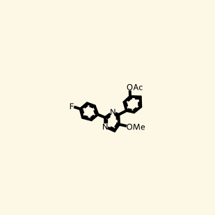 COc1cnc(-c2ccc(F)cc2)nc1-c1cccc(OC(C)=O)c1